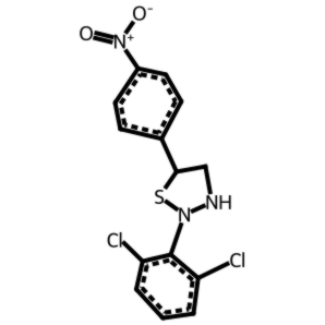 O=[N+]([O-])c1ccc(C2CNN(c3c(Cl)cccc3Cl)S2)cc1